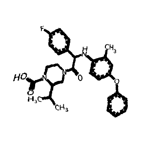 Cc1cc(Oc2ccccc2)ccc1NC(C(=O)N1CCN(C(=O)O)C(C(C)C)C1)c1ccc(F)cc1